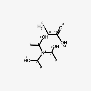 CC(O)N(C(C)O)C(C)O.NCC(=O)O